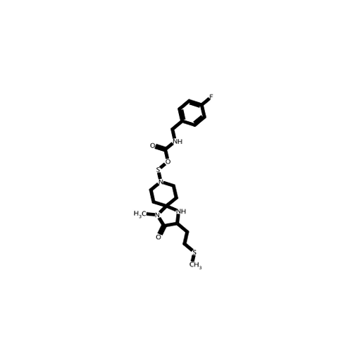 CSCCC1NC2(CCN(SOC(=O)NCc3ccc(F)cc3)CC2)N(C)C1=O